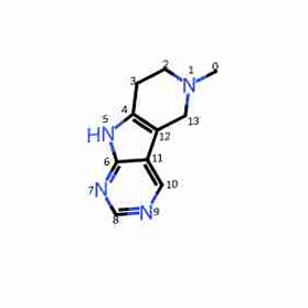 CN1CCc2[nH]c3ncncc3c2C1